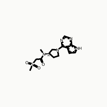 CN(C(=O)CS(C)(=O)=O)[C@@H]1CCN(c2ncnc3[nH]ccc23)C1